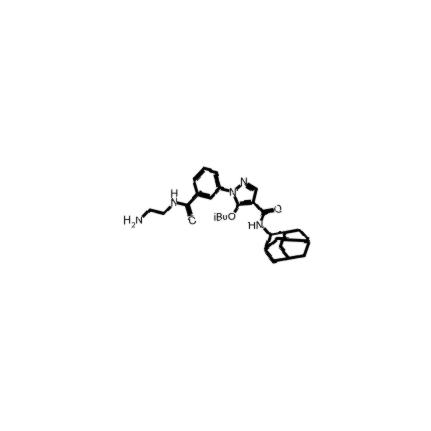 CC(C)COc1c(C(=O)NC2C3CC4CC(C3)CC2C4)cnn1-c1cccc(C(=O)NCCN)c1